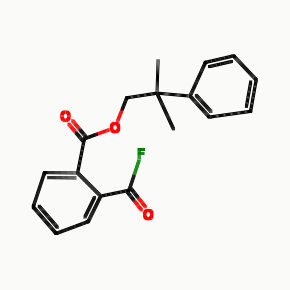 CC(C)(COC(=O)c1ccccc1C(=O)F)c1ccccc1